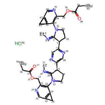 CCN=C1C(c2cnc([C@H]3CCN(c4c(COC(=O)CC(C)(C)C)ncc5c4C5)C3=NCC)cn2)CCN1c1c(COC(=O)CC(C)(C)C)ncc2c1C2.Cl